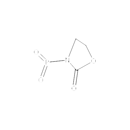 O=C1OCCN1P(=O)=O